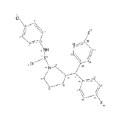 [O-][S+](Nc1ccc(Cl)cc1)N1CCCC(C(c2ccc(F)cc2)c2ccc(F)cc2)C1